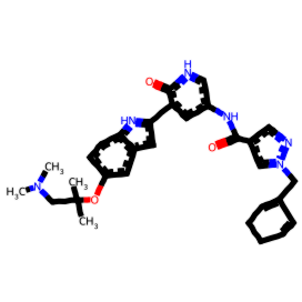 CN(C)CC(C)(C)Oc1ccc2[nH]c(-c3cc(NC(=O)c4cnn(CC5=CCCC=C5)c4)c[nH]c3=O)cc2c1